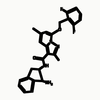 Cc1cc(OCc2c(F)cccc2F)n2nc(C)c(C(=O)NC3Cc4ccccc4C3N)c2c1